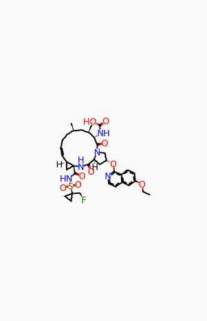 CCOc1ccc2c(O[C@@H]3C[C@H]4C(=O)N[C@]5(C(=O)NS(=O)(=O)C6(CF)CC6)C[C@H]5C=CCC[C@@H](C)C[C@@H](C)[C@H](NC(=O)O)C(=O)N4C3)nccc2c1